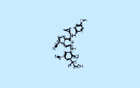 COc1ccc(CN(c2nc(Nc3cc(C#N)cc(C(F)(F)CO)c3Cl)nn3c(C#N)cnc23)C2CC2)cc1